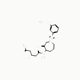 COc1cccc(S(=O)(=O)N2CCCC(NC(=O)C[C@@H](C)CC(N)=O)C(=O)C2)c1